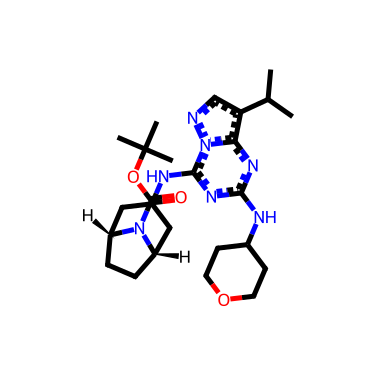 CC(C)c1cnn2c(NC3C[C@H]4CC[C@@H](C3)N4C(=O)OC(C)(C)C)nc(NC3CCOCC3)nc12